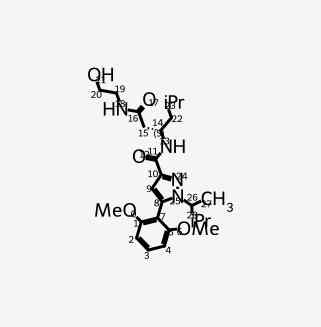 COc1cccc(OC)c1-c1cc(C(=O)N[C@H](CC(=O)NCCO)CC(C)C)nn1C(C)C(C)C